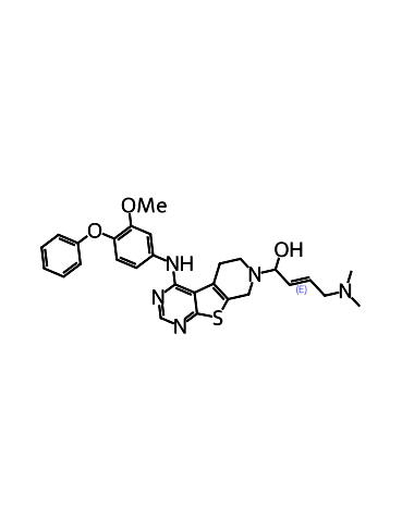 COc1cc(Nc2ncnc3sc4c(c23)CCN(C(O)/C=C/CN(C)C)C4)ccc1Oc1ccccc1